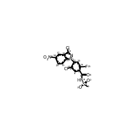 CS(=O)(=O)NC(=O)c1cc(Cl)c(-n2nc(Cl)c3cc([N+](=O)[O-])ccc32)cc1F